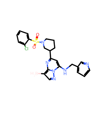 Bc1cnn2c(NCc3cccnc3)cc(C3CCCN(S(=O)(=O)c4ccccc4Cl)C3)nc12